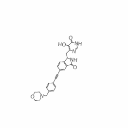 O=C1NC(Cc2nc[nH]c(=O)c2O)c2ccc(C#Cc3ccc(CN4CCOCC4)cc3)cc21